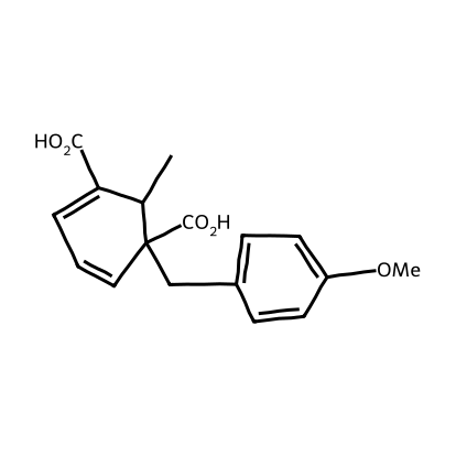 COc1ccc(CC2(C(=O)O)C=CC=C(C(=O)O)C2C)cc1